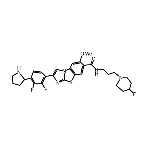 COc1cc2c(cc1C(=O)NCCCN1CCC(F)CC1)sc1nc(-c3ccc(C4CCCN4)c(F)c3F)cn12